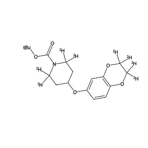 [2H]C1([2H])CC(Oc2ccc3c(c2)OC([2H])([2H])C([2H])([2H])O3)CC([2H])([2H])N1C(=O)OC(C)(C)C